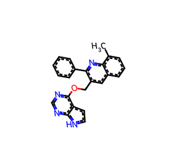 Cc1cccc2cc(COc3ncnc4[nH]ccc34)c(-c3ccccc3)nc12